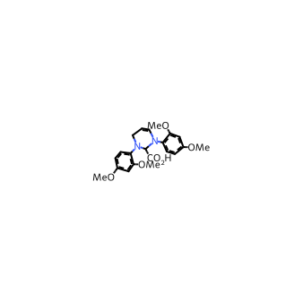 COc1ccc(N2C=CCN(c3ccc(OC)cc3OC)C2C(=O)O)c(OC)c1